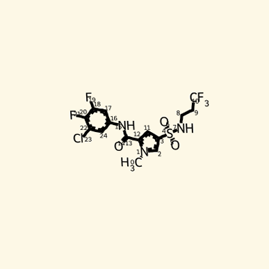 Cn1cc(S(=O)(=O)NCCC(F)(F)F)cc1C(=O)Nc1cc(F)c(F)c(Cl)c1